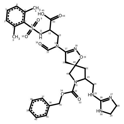 Cc1cccc(C)c1S(=O)(=O)NC(CN(C=O)C1=NO[C@]2(C1)CC(CNC1=NCCN1)N(C(=O)OCc1ccccc1)C2)C(=O)O